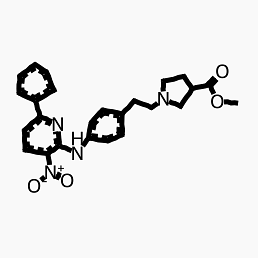 COC(=O)C1CCN(CCc2ccc(Nc3nc(-c4ccccc4)ccc3[N+](=O)[O-])cc2)C1